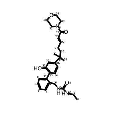 CCNC(=O)NCc1ccccc1-c1ccc(C(C)(C)CC/C=C/C(=O)N2CCOCC2)cc1O